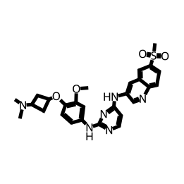 COc1cc(Nc2nccc(Nc3cnc4ccc(S(C)(=O)=O)cc4c3)n2)ccc1OC1CC(N(C)C)C1